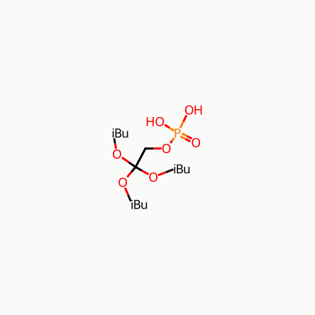 CCC(C)OC(COP(=O)(O)O)(OC(C)CC)OC(C)CC